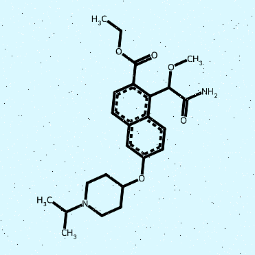 CCOC(=O)c1ccc2cc(OC3CCN(C(C)C)CC3)ccc2c1C(OC)C(N)=O